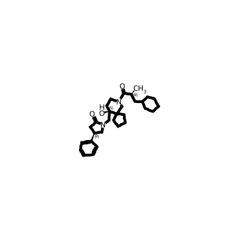 C[C@H](CC1CCCCC1)C(=O)N1CC[C@@](O)(CN2C[C@@H](c3ccccc3)CC2=O)C2(CCCC2)C1